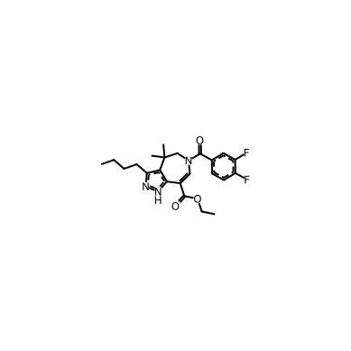 CCCCc1n[nH]c2c1C(C)(C)CN(C(=O)c1ccc(F)c(F)c1)C=C2C(=O)OCC